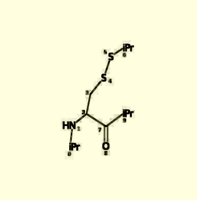 CC(C)NC(CSSC(C)C)C(=O)C(C)C